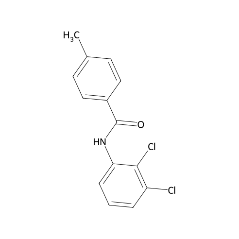 Cc1ccc(C(=O)Nc2cccc(Cl)c2Cl)cc1